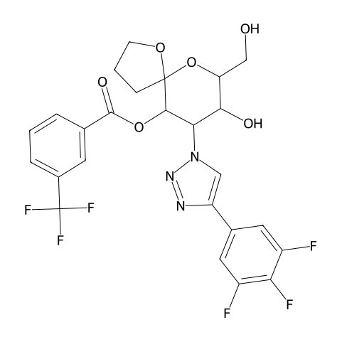 O=C(OC1C(n2cc(-c3cc(F)c(F)c(F)c3)nn2)C(O)C(CO)OC12CCCO2)c1cccc(C(F)(F)F)c1